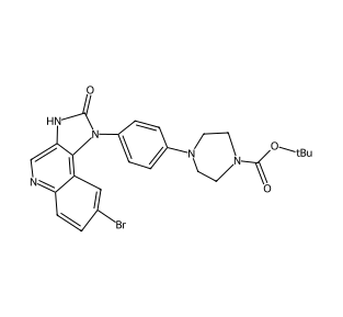 CC(C)(C)OC(=O)N1CCN(c2ccc(-n3c(=O)[nH]c4cnc5ccc(Br)cc5c43)cc2)CC1